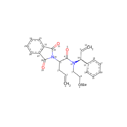 C=CCC(C(=O)N(CCOC)[C@@H](C=C)c1ccccc1)N1C(=O)c2ccccc2C1=O